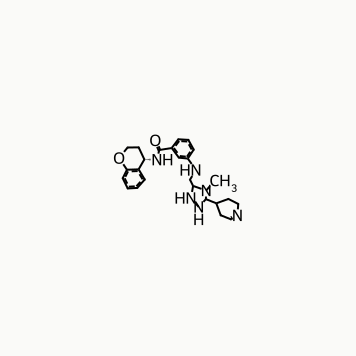 CN1C(CNc2cccc(C(=O)N[C@H]3CCOc4ccccc43)c2)NNC1C1CC=NCC1